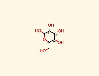 OC[C@@H]1OC(O)[C@H](O)[C@H](O)[C@H]1O